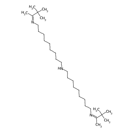 CC(=NCCCCCCCCCNCCCCCCCCCN=C(C)C(C)(C)C)C(C)(C)C